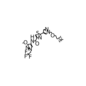 COc1nn(CC(F)(F)F)cc1NC(=O)c1csc(-c2cnn(COCC[Si](C)(C)C)c2)n1